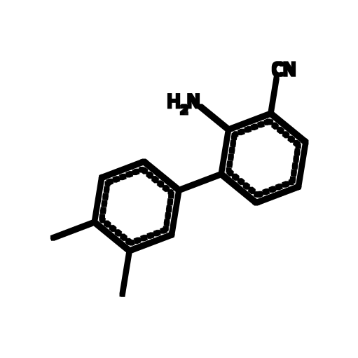 Cc1ccc(-c2cccc(C#N)c2N)cc1C